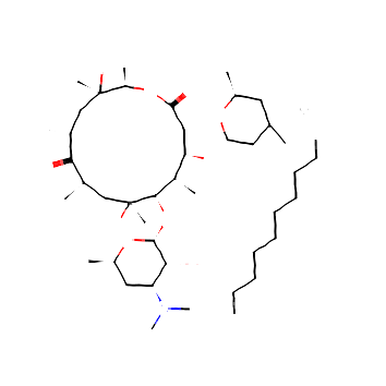 CCCCCCCCCCCCCCCCCCS(=O)(=O)O.CC[C@H]1OC(=O)[C@H](C)[C@@H](O[C@H]2C[C@@](C)(OC)[C@@H](O)[C@H](C)O2)[C@@H](C)[C@@H](O[C@@H]2O[C@H](C)C[C@H](N(C)C)[C@H]2O)[C@](C)(O)C[C@@H](C)C(=O)[C@H](C)[C@H](O)[C@]1(C)O